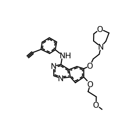 C#Cc1cccc(Nc2ncnc3cc(OCCOC)c(OCCN4CCOCC4)cc23)c1